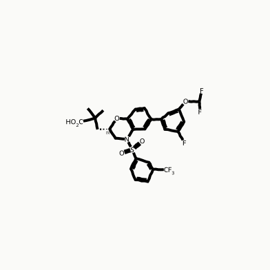 CC(C)(C[C@H]1CN(S(=O)(=O)c2cccc(C(F)(F)F)c2)c2cc(-c3cc(F)cc(OC(F)F)c3)ccc2O1)C(=O)O